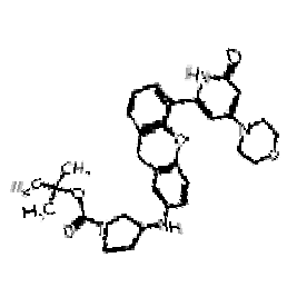 CC(C)(C)OC(=O)N1CCC(Nc2ccc3c(c2)Cc2cccc(-c4cc(N5CCOCC5)cc(=O)[nH]4)c2O3)C1